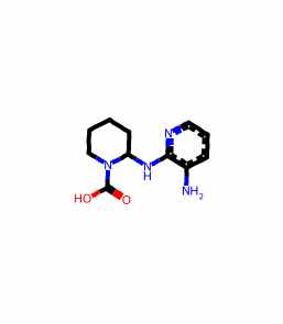 Nc1cccnc1NC1CCCCN1C(=O)O